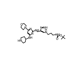 CC(C)(C)OC(=O)NCCCN/C=C(/CNc1nc(NC2CCNCC2)cc(N2CCOCC2)n1)N=N